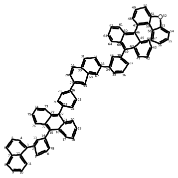 c1cc(-c2cccc3ccccc23)cc(-c2c3ccccc3c(-c3ccc(-c4ccc5ccc(-c6cccc(-c7c8ccccc8c(-c8cccc9oc%10ccccc%10c89)c8ccccc78)c6)cc5c4)cc3)c3ccccc23)c1